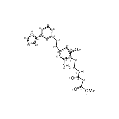 COC(=O)CC(=O)NCCn1c(N)nc(CCc2cccc(-c3ccco3)c2)cc1=O